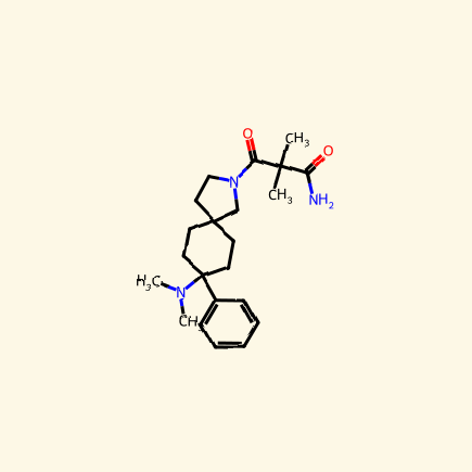 CN(C)C1(c2ccccc2)CCC2(CCN(C(=O)C(C)(C)C(N)=O)C2)CC1